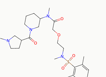 Cc1cc(C)c(S(=O)(=O)N(C)CCOCC(=O)N(C)C2CCCN(C(=O)C3CCN(C)C3)C2)c(C)c1